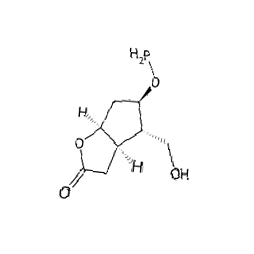 O=C1C[C@@H]2[C@@H](CO)[C@H](OP)C[C@@H]2O1